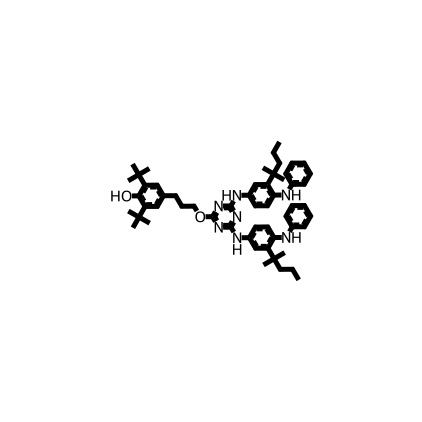 CCCC(C)(C)c1cc(Nc2nc(Nc3ccc(Nc4ccccc4)c(C(C)(C)CCC)c3)nc(OCCCc3cc(C(C)(C)C)c(O)c(C(C)(C)C)c3)n2)ccc1Nc1ccccc1